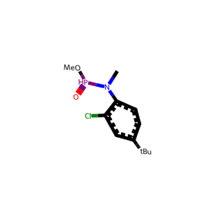 CO[PH](=O)N(C)c1ccc(C(C)(C)C)cc1Cl